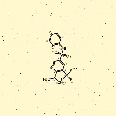 CC(C)c1ncc(S(=O)(=O)Nc2ccncn2)cc1C(F)(F)F